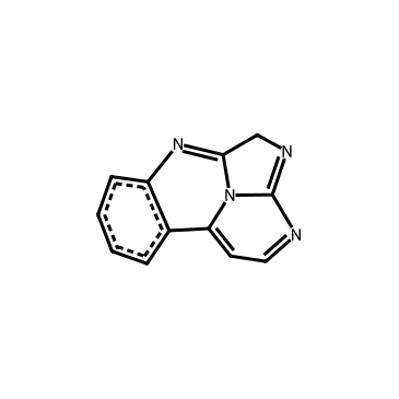 C1=NC2=NCC3=Nc4ccccc4C(=C1)N32